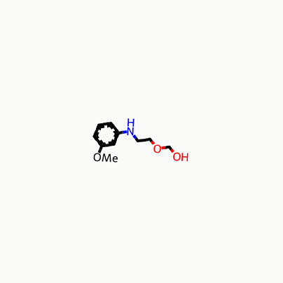 COc1cccc(NCCOCO)c1